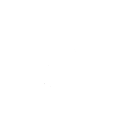 CC(N)CCCCC1CCSS1